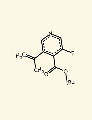 C=C(C)c1cncc(F)c1C(=O)OC(C)(C)C